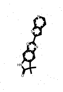 CC1(C)C(=O)Nc2cc3oc(-c4cc5ccncc5s4)nc3cc21